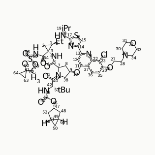 CC[C@@H]1C[C@]1(NC(=O)C1C[C@@H](Oc2cc(-c3csc(NC(C)C)n3)nc3c(Cl)c(OCCN4CCOCC4)ccc23)CN1C(=O)[C@@H](NC(=O)O[C@@H]1C[C@@H]2C[C@@H]2C1)C(C)(C)C)C(=O)NS(=O)(=O)OC1(C)CC1